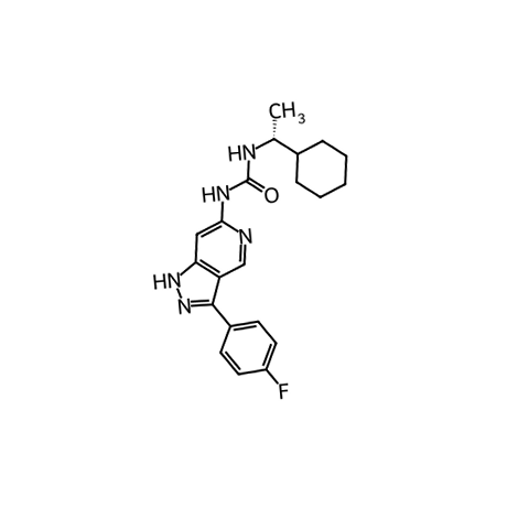 C[C@@H](NC(=O)Nc1cc2[nH]nc(-c3ccc(F)cc3)c2cn1)C1CCCCC1